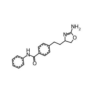 NC1=NC(CCc2ccc(C(=O)Nc3ccccc3)cc2)CO1